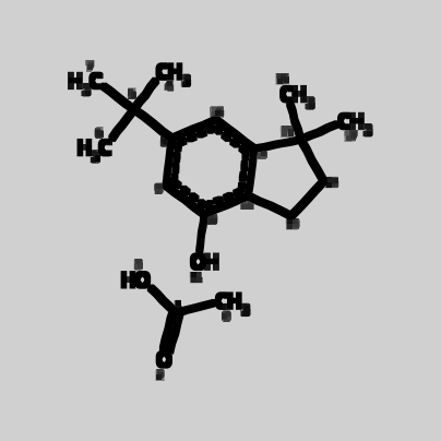 CC(=O)O.CC(C)(C)c1cc(O)c2c(c1)C(C)(C)CC2